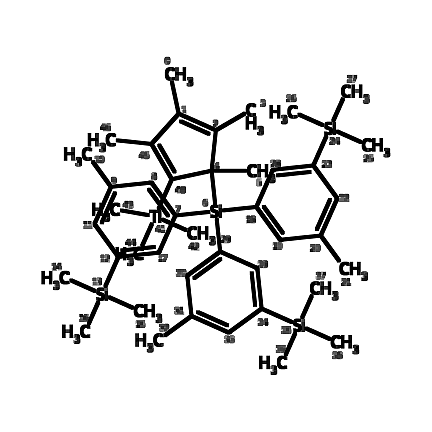 CC1=C(C)C(C)([Si](c2cc(C)cc([Si](C)(C)C)c2)(c2cc(C)cc([Si](C)(C)C)c2)c2cc(C)cc([Si](C)(C)C)c2)[C]([Ti]([CH3])([CH3])[CH3])=C1C